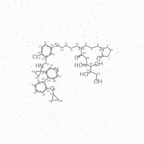 O=C1CCCN1CCCN(CCCCSc1ccc(Cl)c(CNC2(c3cnccc3-c3ccccc3OC3CC3)CC2)c1)C(=O)CC(O)C(O)C(O)CO